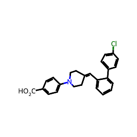 O=C(O)c1ccc(N2CCC(=Cc3ccccc3-c3ccc(Cl)cc3)CC2)cc1